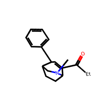 CCC(=O)C1=CC(c2ccccc2)C2CCC1N(C)C2